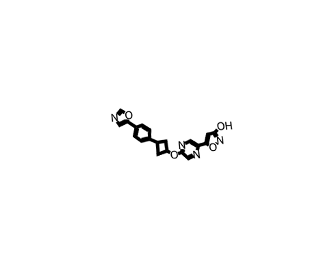 Oc1cc(-c2cnc(OC3CC(c4ccc(-c5cnco5)cc4)C3)cn2)on1